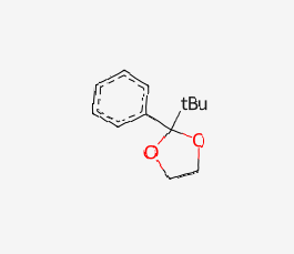 CC(C)(C)C1(c2ccccc2)OCCO1